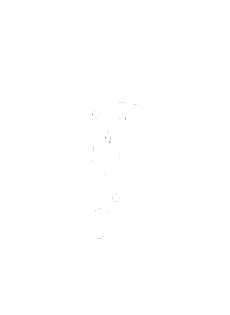 CC(C)(C)OC(=O)N1CC=C(c2cc3ccccc3o2)CC1